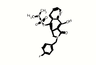 CN(C)S(=O)(=O)Oc1c2c(c(O)c3ncccc13)C(=O)N(Cc1ccc(F)cc1)C2